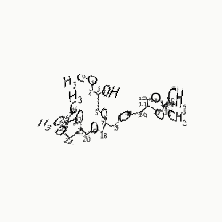 COCC(O)COC(COCC1COC(C)(C)O1)COCC1COC(C)(C)O1